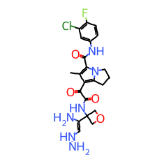 Cc1c(C(=O)C(=O)NC2(/C(N)=C/NN)COC2)c2n(c1C(=O)Nc1ccc(F)c(Cl)c1)CCC2